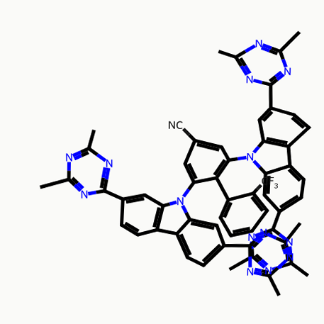 Cc1nc(C)nc(-c2ccc3c4ccc(-c5nc(C)nc(C)n5)cc4n(-c4cc(C#N)cc(-n5c6cc(-c7nc(C)nc(C)n7)ccc6c6ccc(-c7nc(C)nc(C)n7)cc65)c4-c4ccccc4C(F)(F)F)c3c2)n1